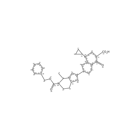 CC1c2cc(-c3ccc4c(=O)c(C(=O)O)cn(C5CC5)c4c3)sc2CCN1C(=O)OCc1ccccc1